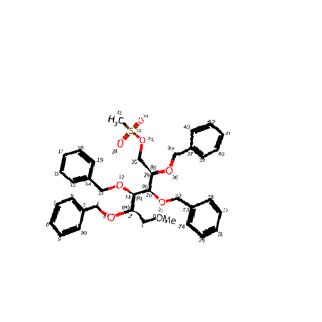 COC[C@@H](OCc1ccccc1)[C@@H](OCc1ccccc1)[C@H](OCc1ccccc1)[C@@H](COS(C)(=O)=O)OCc1ccccc1